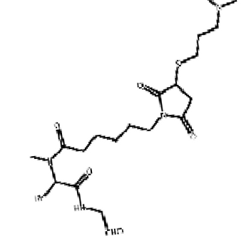 CC(C)C(C(=O)NCC=O)N(C)C(=O)CCCCCN1C(=O)CC(SCCCN(C)C)C1=O